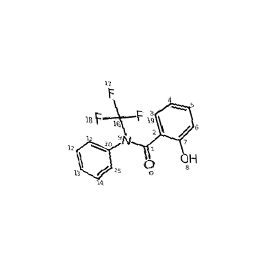 O=C(c1ccccc1O)N(c1ccccc1)C(F)(F)F